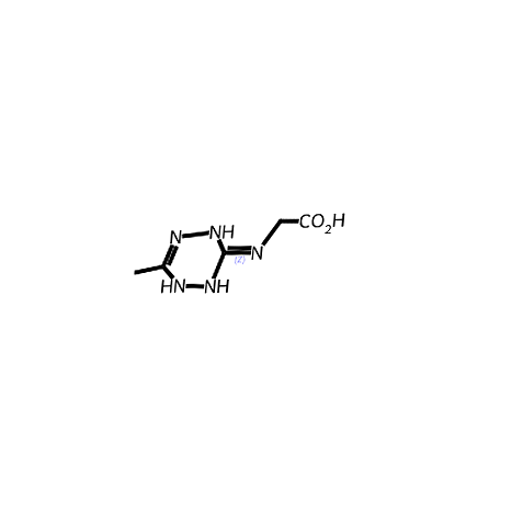 CC1=NN/C(=N\CC(=O)O)NN1